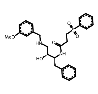 COc1cccc(CNC[C@H](O)[C@H](Cc2ccccc2)NC(=O)CCS(=O)(=O)c2ccccc2)c1